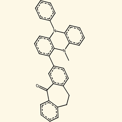 CN1c2ccccc2N(c2ccccc2)c2cccc(-c3ccc4c(c3)C(=O)c3ccccc3CC4)c21